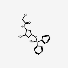 CC(C)(C)[Si](OC1CC(O)C(NC(=O)CCl)C1)(c1ccccc1)c1ccccc1